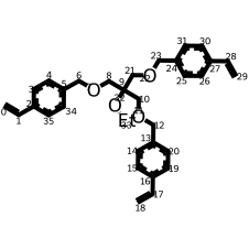 C=Cc1ccc(COCC(COCc2ccc(C=C)cc2)(COCc2ccc(C=C)cc2)OCC)cc1